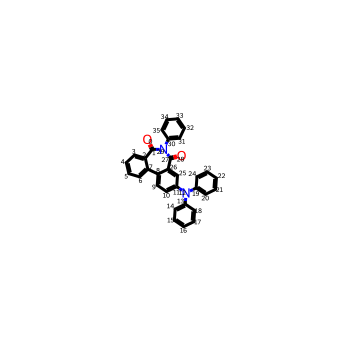 O=c1c2ccccc2c2ccc(N(c3ccccc3)c3ccccc3)cc2c(=O)n1-c1ccccc1